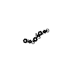 O=C1C=C(N2CCc3nc(-c4ccc(O[C@H]5C[C@H](N6CCCCC6)C5)cc4)sc3C2)C1